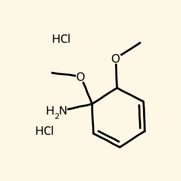 COC1C=CC=CC1(N)OC.Cl.Cl